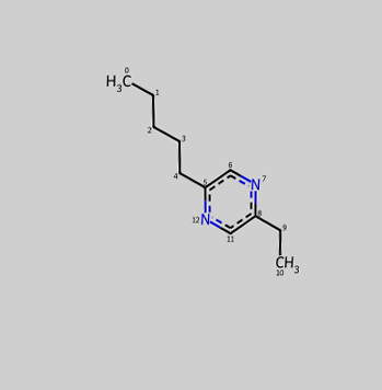 CCCCCc1cnc(CC)cn1